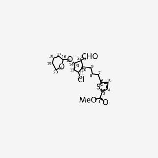 COC(=O)c1ccc(CCC[C@H]2C(Cl)C[C@@H](OC3CCCCO3)C2C=O)s1